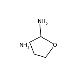 N.NC1CCCO1